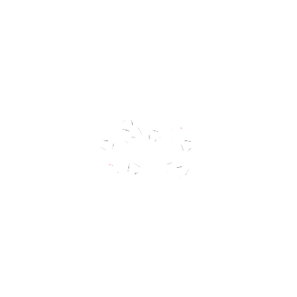 O=C(O)[C@@H]1[C@H](c2ccccc2)C(COc2cccc3ccccc23)[C@H]1c1ccc(-c2cc(NC[C@H]3[C@@H](c4ccccc4)[C@@H](C(=O)O)[C@@H]3c3ccccc3)c3ccccc3c2)cc1